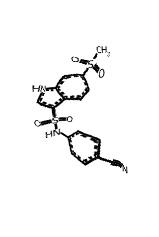 CS(=O)(=O)c1ccc2c(S(=O)(=O)Nc3ccc(C#N)cc3)c[nH]c2c1